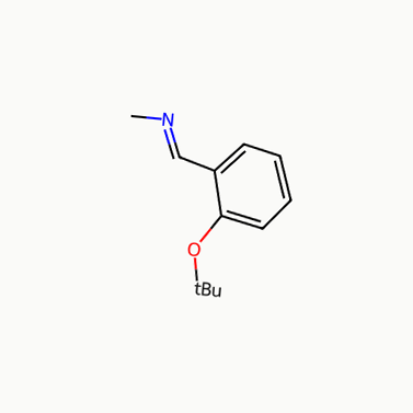 C/N=C/c1ccccc1OC(C)(C)C